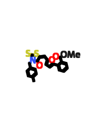 COC(=O)c1ccccc1-c1ccc(/C=C2/SC(=S)N(Cc3ccc(C)cc3)C2=O)o1